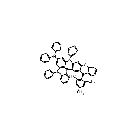 Cc1cc(C)c(B2c3ccccc3Oc3cc4c(cc32)B2c3ccccc3N(c3ccccc3)c3cc(N(c5ccccc5)c5ccccc5)cc(c32)N4c2ccccc2)c(C)c1